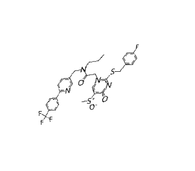 CCCN(Cc1ccc(-c2ccc(C(F)(F)F)cc2)nc1)C(=O)Cn1cc([S+](C)[O-])c(=O)nc1SCc1ccc(F)cc1